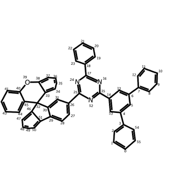 c1ccc(-c2cc(-c3ccccc3)cc(-c3nc(-c4ccccc4)nc(-c4ccc5c(c4)C4(c6ccccc6Oc6ccccc64)c4ccccc4-5)n3)c2)cc1